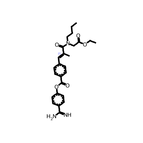 CCCCN(CC(=O)OCC)C(=O)/C(C)=C/c1ccc(C(=O)Oc2ccc(C(=N)N)cc2)cc1